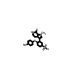 CCS(=O)(=O)c1ccc(Oc2ccc(C#N)cc2)c(-c2cn(C)c3c(=O)[nH]ccc23)c1